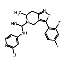 CC1Cc2noc(-c3ccc(F)cc3F)c2CN1C(O)Nc1ccnc(Cl)c1